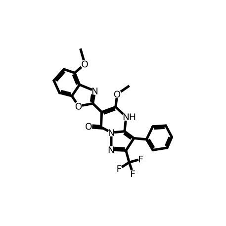 COc1[nH]c2c(-c3ccccc3)c(C(F)(F)F)nn2c(=O)c1-c1nc2c(OC)cccc2o1